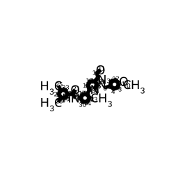 COc1ccc(Cn2nc(C=O)c3ccc(-c4cc(NC(=O)c5cc(C)cc(C)c5)ccc4C)nc32)cc1